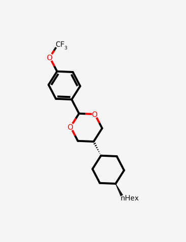 CCCCCC[C@H]1CC[C@H](C2COC(c3ccc(OC(F)(F)F)cc3)OC2)CC1